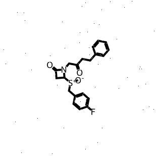 O=C(CCc1ccccc1)CN1C(=O)CC1[S+]([O-])Cc1ccc(F)cc1